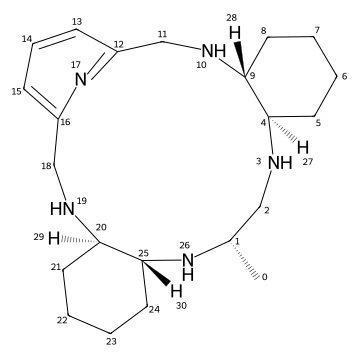 C[C@H]1CN[C@@H]2CCCC[C@H]2NCc2cccc(n2)CN[C@@H]2CCCC[C@H]2N1